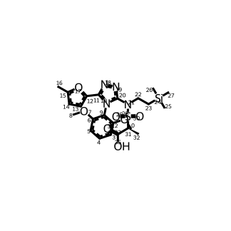 COc1cccc(OC)c1-n1c(-c2ccc(C)o2)nnc1N(CC[Si](C)(C)C)S(=O)(=O)[C@@H](C)C(=O)O